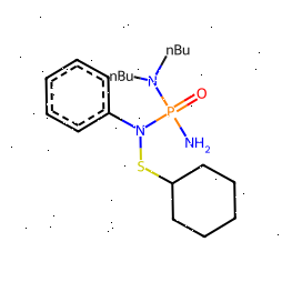 CCCCN(CCCC)P(N)(=O)N(SC1CCCCC1)c1ccccc1